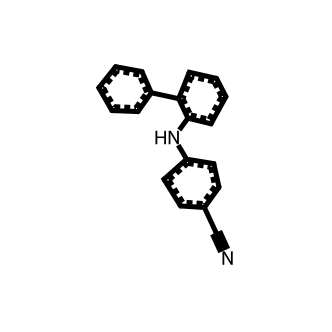 N#Cc1ccc(Nc2ccccc2-c2ccccc2)cc1